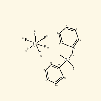 C[N+](C)(Cc1ccccc1)c1ccccc1.[F][Sb-]([F])([F])([F])([F])[F]